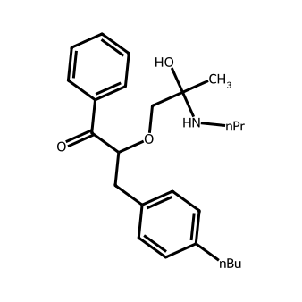 CCCCc1ccc(CC(OCC(C)(O)NCCC)C(=O)c2ccccc2)cc1